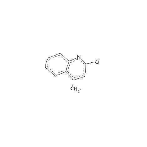 [CH2]c1cc(Cl)nc2ccccc12